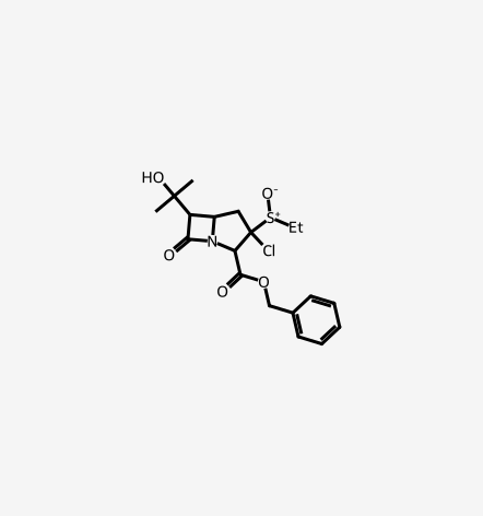 CC[S+]([O-])C1(Cl)CC2C(C(C)(C)O)C(=O)N2C1C(=O)OCc1ccccc1